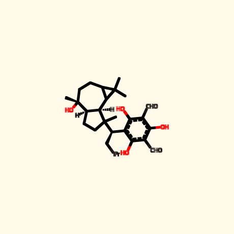 CC(C)C[C@H](c1c(O)c(C=O)c(O)c(C=O)c1O)C1(C)CC[C@@H]2[C@H]1C1C(CC[C@@]2(C)O)C1(C)C